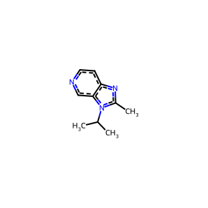 Cc1nc2ccncc2n1C(C)C